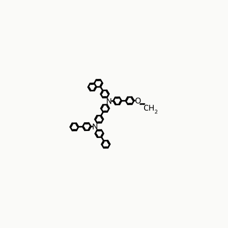 C=CCOc1ccc(-c2ccc(N(c3ccc(-c4ccc(N(c5ccc(-c6ccccc6)cc5)c5ccc(-c6ccccc6)cc5)cc4)cc3)c3ccc(-c4cccc5ccccc45)cc3)cc2)cc1